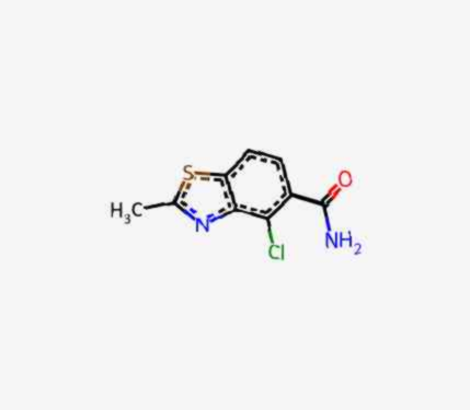 Cc1nc2c(Cl)c(C(N)=O)ccc2s1